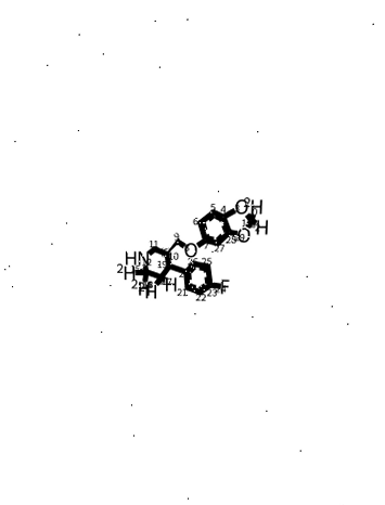 [2H]C1([2H])Oc2ccc(OC[C@@H]3CNC([2H])([2H])C([2H])([2H])C3c3ccc(F)cc3)cc2O1